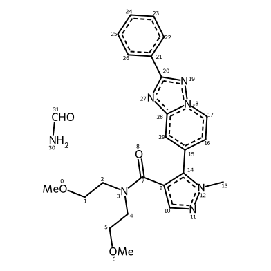 COCCN(CCOC)C(=O)c1cnn(C)c1-c1ccn2nc(-c3ccccc3)nc2c1.NC=O